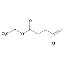 O=C(Cl)CCC(=O)OCC(Cl)(Cl)Cl